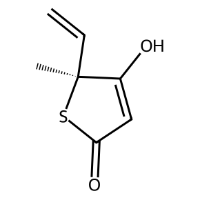 C=C[C@]1(C)SC(=O)C=C1O